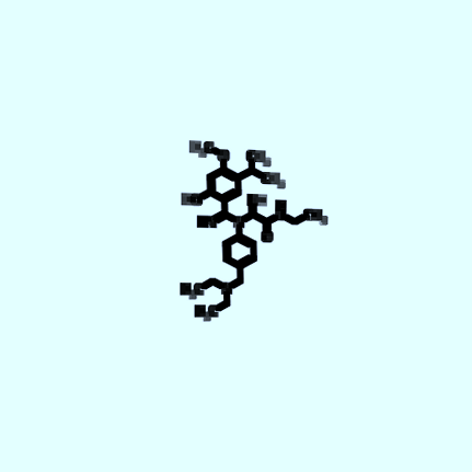 CCNC(=O)C(=N)N(C(=N)c1cc(C(C)C)c(OC)cc1O)c1ccc(CN(CC)CC)cc1